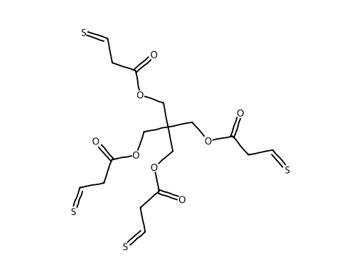 O=C(CC=S)OCC(COC(=O)CC=S)(COC(=O)CC=S)COC(=O)CC=S